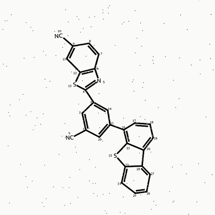 N#Cc1cc(-c2nc3ccc(C#N)cc3s2)cc(-c2cccc3c2sc2ccccc23)c1